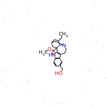 CCC1CC2CN3CCc4c([nH]c5ccc(CO)cc45)C(C(=O)OC)(C2)C13